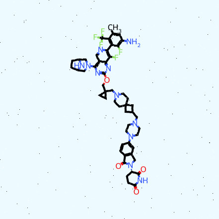 Cc1cc(N)c(F)c(-c2ncc3c(N4CC5CCC(C4)N5)nc(OCC4(CN5CCC6(CC5)CC(CN5CCN(c7ccc8c(c7)CN([C@H]7CCC(=O)NC7=O)C8=O)CC5)C6)CC4)nc3c2F)c1C(F)(F)F